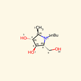 CCCCN1[C@H](C)[C@@H](O)[C@H](O)[C@H]1CO